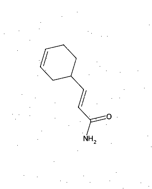 NC(=O)C=CC1CC=CCC1